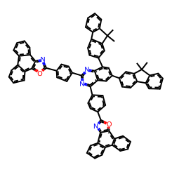 CC1(C)c2ccccc2-c2ccc(-c3cc(-c4ccc5c(c4)C(C)(C)c4ccccc4-5)c4nc(-c5ccc(-c6nc7c8ccccc8c8ccccc8c7o6)cc5)nc(-c5ccc(-c6nc7c8ccccc8c8ccccc8c7o6)cc5)c4c3)cc21